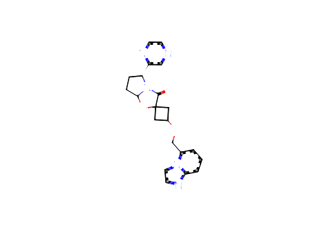 O=C1N2C(CC[C@H]2c2cnccn2)OC12CC(OCc1cccc3nccn13)C2